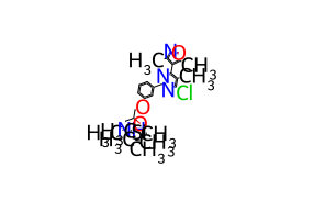 CNCC(COc1cccc(-c2nc(Cl)c(C)c(-c3c(C)noc3C)n2)c1)O[Si](C)(C)C(C)(C)C